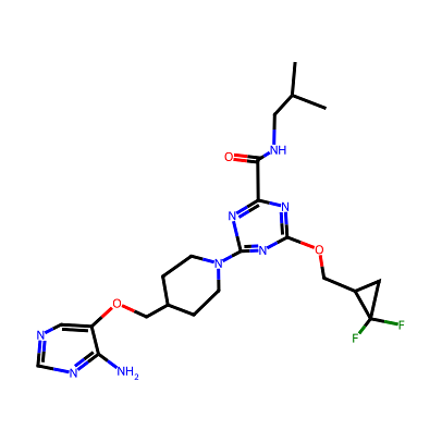 CC(C)CNC(=O)c1nc(OCC2CC2(F)F)nc(N2CCC(COc3cncnc3N)CC2)n1